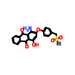 CCS(=O)(=O)Cc1ccc(Oc2cc(O)c3c(c2N)C(=O)c2ccccc2C3=O)cc1